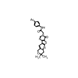 CC(=O)c1ccc(NC(=O)Cn2cnc3c(sc4nc5c(cc43)COC(C)(C)C5)c2=O)cc1